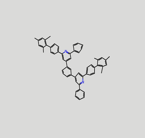 Cc1cc(C)c(-c2ccc(-c3cc(-c4cccc(-c5cc(-c6ccccc6)nc(-c6ccc(-c7c(C)cc(C)cc7C)cc6)c5)c4)cc(-c4ccccc4)n3)cc2)c(C)c1